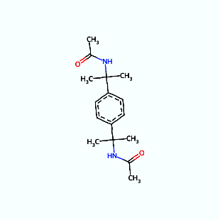 CC(=O)NC(C)(C)c1ccc(C(C)(C)NC(C)=O)cc1